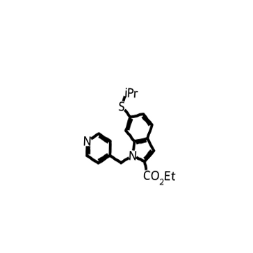 CCOC(=O)c1cc2ccc(SC(C)C)cc2n1Cc1ccncc1